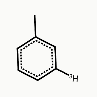 [3H]c1cccc(C)c1